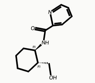 O=C(N[C@@H]1CCCC[C@H]1CO)c1ccccn1